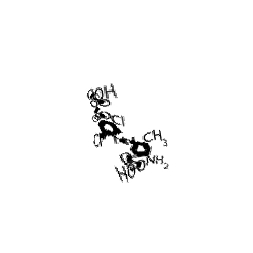 Cc1cc(N)c(S(=O)(=O)O)cc1N=Nc1cc(Cl)c(S(=O)(=O)CCOS(=O)(=O)O)cc1Cl